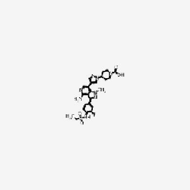 CCS(=O)(=O)Nc1ccc(-c2nn(C)c3c(-c4cnn(C5CCN(C(=O)O)CC5)c4)cnc(N)c23)cc1F